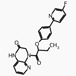 CCC(Oc1ccc(-c2ccc(F)cn2)cc1)C(=O)N1CC(=O)Nc2cccnc21